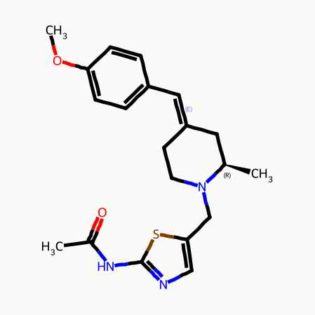 COc1ccc(/C=C2\CCN(Cc3cnc(NC(C)=O)s3)[C@H](C)C2)cc1